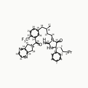 CC(C)CC[C@]1(c2ccccc2)NC(=N)N(CC[C@H](C)Cc2ccc(C(F)(F)F)c(C(=O)N3Cc4nccnc4C3)c2)C1=O